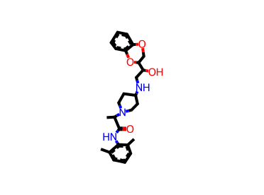 Cc1cccc(C)c1NC(=O)C(C)N1CCC(NCC(O)C2COc3ccccc3O2)CC1